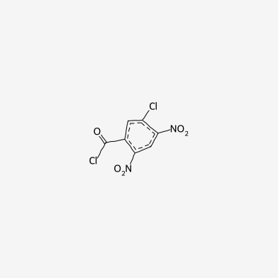 O=C(Cl)c1cc(Cl)c([N+](=O)[O-])cc1[N+](=O)[O-]